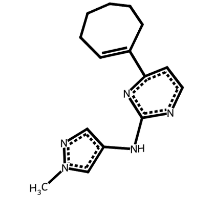 Cn1cc(Nc2nccc(C3=CCCCCC3)n2)cn1